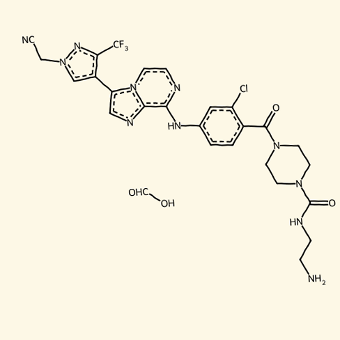 N#CCn1cc(-c2cnc3c(Nc4ccc(C(=O)N5CCN(C(=O)NCCN)CC5)c(Cl)c4)nccn23)c(C(F)(F)F)n1.O=CO